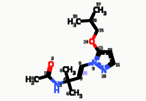 CC(=O)NC(C)(C)/C=C/n1nccc1OCC(C)C